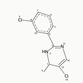 CC1NC(c2cccc(Cl)c2)=NC=C1Cl